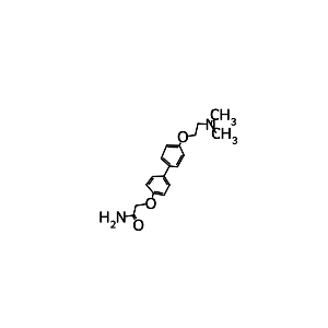 CN(C)CCOc1ccc(-c2ccc(OCC(N)=O)cc2)cc1